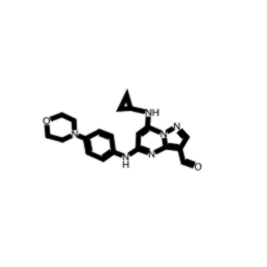 O=Cc1cnn2c(NC3CC3)cc(Nc3ccc(N4CCOCC4)cc3)nc12